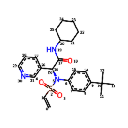 C=CS(=O)(=O)N(c1ccc(C(C)(C)C)cc1)[C@H](C(=O)NC1CCCCC1)c1cccnc1